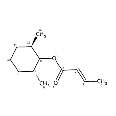 C/C=C/C(=O)OC1[C@H](C)CCC[C@H]1C